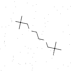 CC(C)(C)COCCOCC(C)(C)O